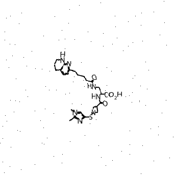 Cc1nc(SN2CC(C(=O)NC(CNC(=O)CCCCc3ccc4c(n3)NCCC4)C(=O)O)C2)cn1C